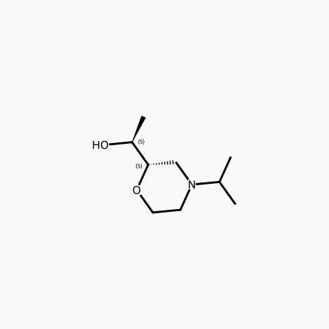 CC(C)N1CCO[C@H]([C@H](C)O)C1